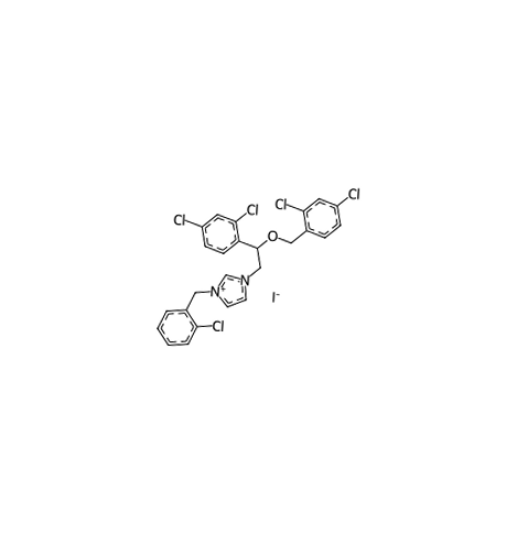 Clc1ccc(COC(Cn2cc[n+](Cc3ccccc3Cl)c2)c2ccc(Cl)cc2Cl)c(Cl)c1.[I-]